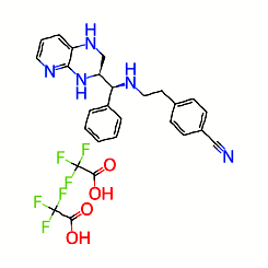 N#Cc1ccc(CCN[C@@H](c2ccccc2)[C@@H]2CNc3cccnc3N2)cc1.O=C(O)C(F)(F)F.O=C(O)C(F)(F)F